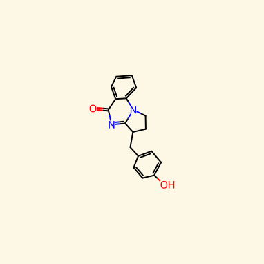 O=c1nc2n(c3ccccc13)CCC2Cc1ccc(O)cc1